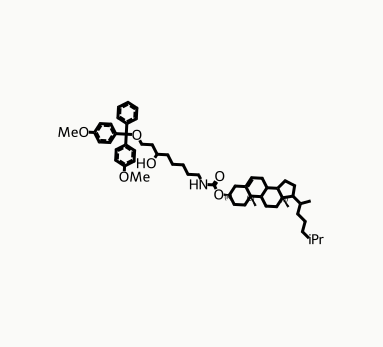 COc1ccc(C(OCCC(O)CCCCCNC(=O)O[C@@H]2CC[C@]3(C)C(=CCC4C5CCC(C(C)CCCC(C)C)[C@]5(C)CCC43)C2)(c2ccccc2)c2ccc(OC)cc2)cc1